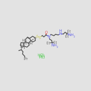 CCC(N)(CC)CCNCCCCN(CCC(N)(CC)CC)C(=O)CCSS[C@H]1CC[C@@]2(C)C(=CC[C@H]3[C@@H]4CC[C@H](C(C)CCCC(C)C)[C@@]4(C)CC[C@@H]32)C1.Cl.Cl.Cl